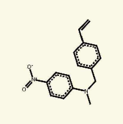 C=Cc1ccc(CN(C)c2ccc([N+](=O)[O-])cc2)cc1